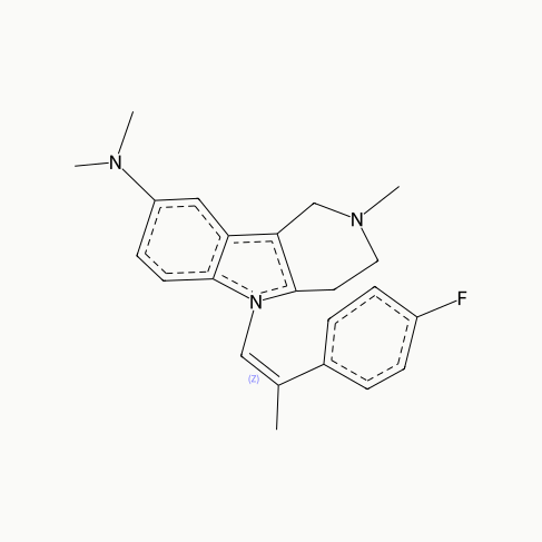 C/C(=C/n1c2c(c3cc(N(C)C)ccc31)CN(C)CC2)c1ccc(F)cc1